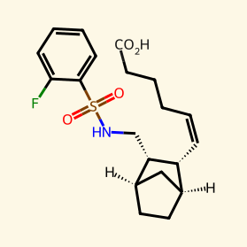 O=C(O)CCC/C=C\[C@@H]1[C@H]2CC[C@H](C2)[C@@H]1CNS(=O)(=O)c1ccccc1F